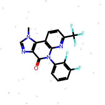 Cn1cnc2c(=O)n(-c3cccc(F)c3F)c3nc(C(F)(F)F)ccc3c21